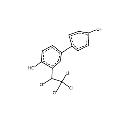 Oc1ccc(-c2ccc(O)c(C(Cl)C(Cl)(Cl)Cl)c2)cc1